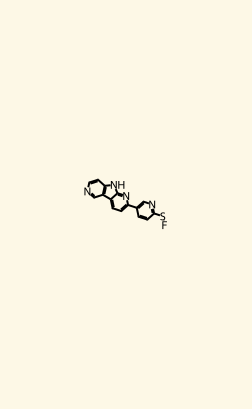 FSc1ccc(-c2ccc3c(n2)[nH]c2ccncc23)cn1